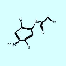 Nc1cc(Cl)c(NC(=O)CBr)cc1Cl